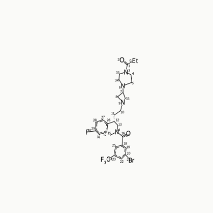 CCC(=O)N1CCN(C2CN(CC[C@H](CN(C)C(=O)c3cc(Br)cc(C(F)(F)F)c3)c3ccc(F)cc3)C2)CC1